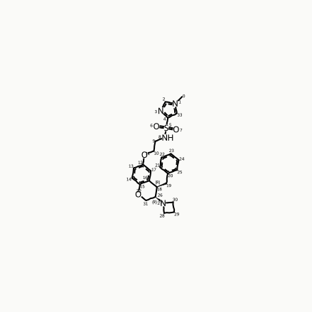 Cn1cnc(S(=O)(=O)NCCOc2ccc3c(c2)[C@@H](Cc2ccccc2)[C@@H](N2CCC2)CO3)c1